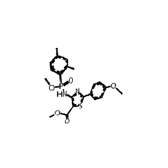 COC(=O)c1sc(-c2ccc(OC)cc2)nc1NP(=O)(OC)c1ccc(C)cc1C